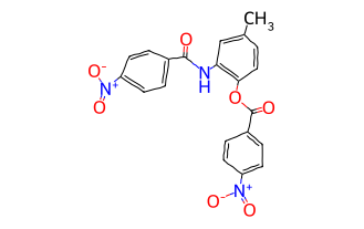 Cc1ccc(OC(=O)c2ccc([N+](=O)[O-])cc2)c(NC(=O)c2ccc([N+](=O)[O-])cc2)c1